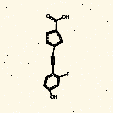 O=C(O)c1ccc(C#Cc2ccc(O)cc2F)cc1